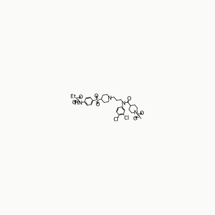 CCS(=O)(=O)Nc1ccc(S(=O)(=O)C2CCN(CCCN(C(=O)C3CCN(S(C)(=O)=O)CC3)c3ccc(Cl)c(Cl)c3)CC2)cc1